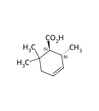 C[C@@H]1C=CCC(C)(C)[C@H]1C(=O)O